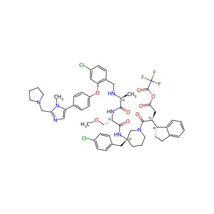 COC[C@H](NC(=O)[C@H](C)NCc1ccc(Cl)cc1Oc1ccc(-c2cnc(CN3CCCC3)n2C)cc1)C(=O)N[C@@]1(Cc2ccc(Cl)cc2)CCCN(C(=O)[C@@H](CC(=O)OC(=O)C(F)(F)F)[C@H]2CCc3ccccc32)C1